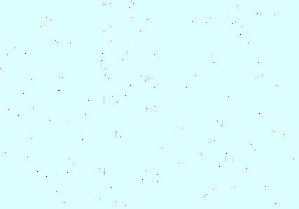 CC(C)C(N)C(=O)OCS/C(=N/c1cccc2cccnc12)NC(NC(=O)/C=C/c1ccccc1)C(Cl)(Cl)Cl